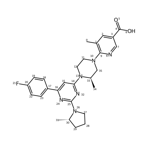 Cc1cc(C(=O)O)cnc1N1CCN(c2cc(-c3ccc(F)cc3)nc(N3CCC[C@@H]3C)n2)[C@H](C)C1